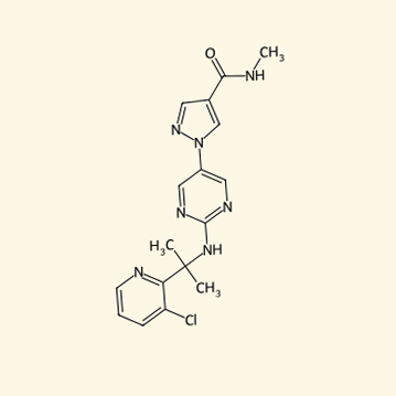 CNC(=O)c1cnn(-c2cnc(NC(C)(C)c3ncccc3Cl)nc2)c1